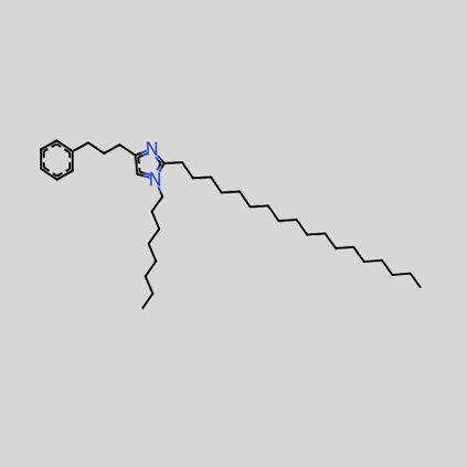 CCCCCCCCCCCCCCCCCCc1nc(CCCc2ccccc2)cn1CCCCCCCC